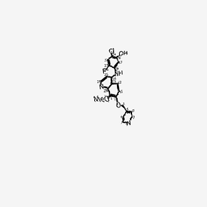 COc1c(OCc2ccncc2)ccc2c(Nc3cc(O)c(Cl)cc3F)ccnc12